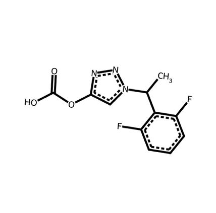 CC(c1c(F)cccc1F)n1cc(OC(=O)O)nn1